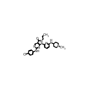 C=CCn1c(=O)c2cnc(Nc3ccc(Cl)cc3)nc2n1-c1cccc(NC2CCN(C)CC2)n1